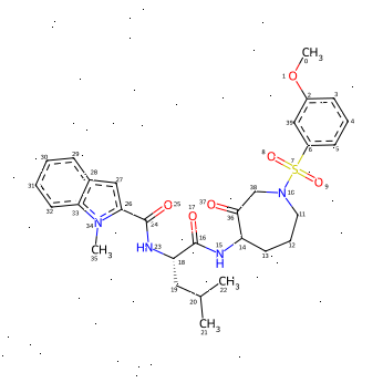 COc1cccc(S(=O)(=O)N2CCCC(NC(=O)[C@H](CC(C)C)NC(=O)c3cc4ccccc4n3C)C(=O)C2)c1